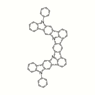 c1ccc(-n2c3ccccc3c3cc4c(cc32)c2cccc3c5cc6c7cccc8c9cc%10c(cc9n(c6cc5n4c23)c87)c2ccccc2n%10-c2ccccc2)cc1